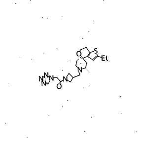 CCc1cc2c(s1)CCO[C@@]21CCN(CC2CN(C(=O)Cn3cnnn3)C2)[C@@H](C)C1